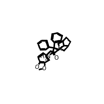 NC(=O)C(CC1C2CCC1CN(CCc1ccc3c(c1)OCO3)C2)(c1ccccc1)c1ccccc1